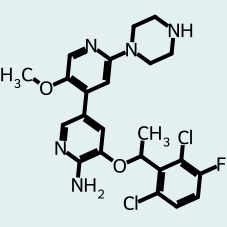 COc1cnc(N2CCNCC2)cc1-c1cnc(N)c(OC(C)c2c(Cl)ccc(F)c2Cl)c1